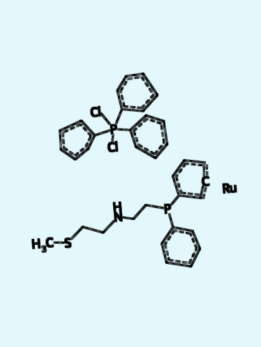 CSCCNCCP(c1ccccc1)c1ccccc1.ClP(Cl)(c1ccccc1)(c1ccccc1)c1ccccc1.[Ru]